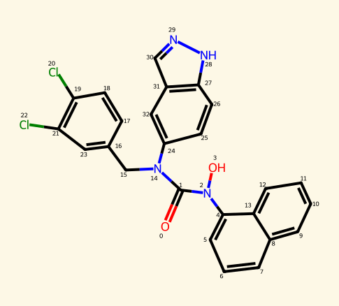 O=C(N(O)c1cccc2ccccc12)N(Cc1ccc(Cl)c(Cl)c1)c1ccc2[nH]ncc2c1